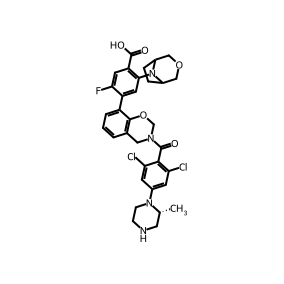 C[C@@H]1CNCCN1c1cc(Cl)c(C(=O)N2COc3c(cccc3-c3cc(N4C5CCC4COC5)c(C(=O)O)cc3F)C2)c(Cl)c1